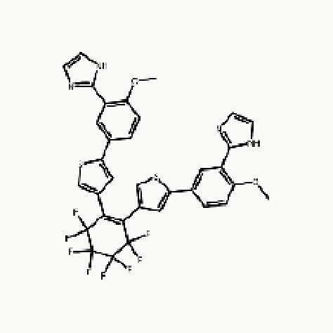 COc1ccc(-c2cc(C3=C(c4csc(-c5ccc(OC)c(-c6ncc[nH]6)c5)c4)C(F)(F)C(F)(F)C(F)(F)C3(F)F)cs2)cc1-c1ncc[nH]1